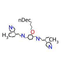 C\C=C/C(=C\C=N\Cc1ccc(C/N=C/C=C(\C=C/C)c2ccncc2)c(OCCCCCCCCCCCCCC)c1)c1ccncc1